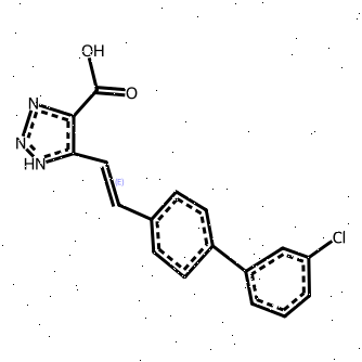 O=C(O)c1nn[nH]c1/C=C/c1ccc(-c2cccc(Cl)c2)cc1